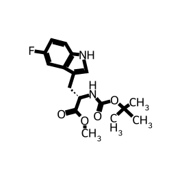 COC(=O)[C@H](Cc1c[nH]c2ccc(F)cc12)NC(=O)OC(C)(C)C